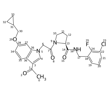 CC(=O)c1cn(CC(=O)N2CCC[C@H]2C(=O)NCc2cccc(Cl)c2F)c2cc(OCC3CC3)ccc12